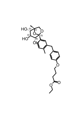 CCOC(=O)CCCOc1ccc(Cc2cc([C@]34OC[C@](C)(O3)[C@@H](O)[C@H](O)[C@H]4O)ccc2C)cc1